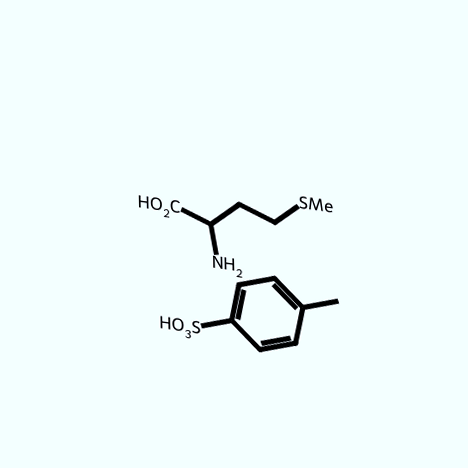 CSCCC(N)C(=O)O.Cc1ccc(S(=O)(=O)O)cc1